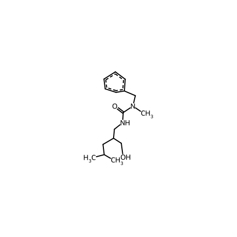 CC(C)CC(CO)CNC(=O)N(C)Cc1ccccc1